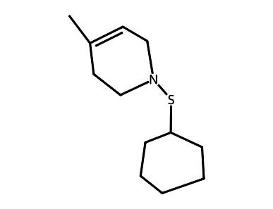 CC1=CCN(SC2CCCCC2)CC1